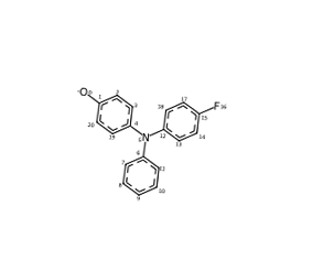 [O]c1ccc(N(c2ccccc2)c2ccc(F)cc2)cc1